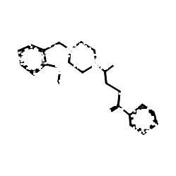 COc1ccccc1CN1CCN(C(F)CCC(=O)c2ccccc2)CC1